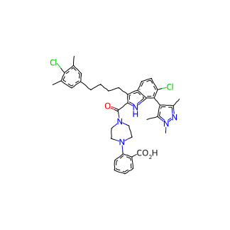 Cc1cc(CCCCc2c(C(=O)N3CCN(c4ccccc4C(=O)O)CC3)[nH]c3c(-c4c(C)nn(C)c4C)c(Cl)ccc23)cc(C)c1Cl